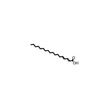 CCCCCCCCCCCCCC=C/C=C/C(=O)O